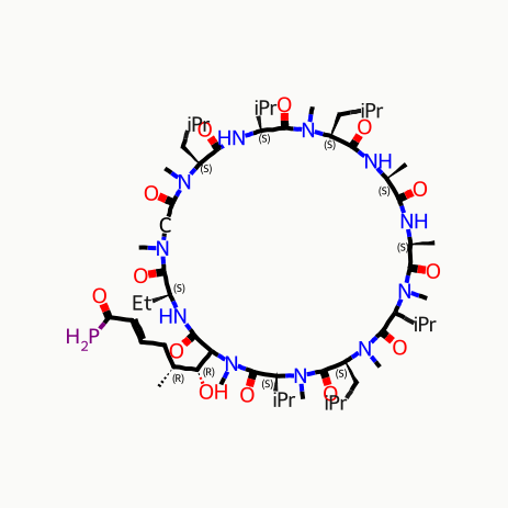 CC[C@@H]1NC(=O)C([C@H](O)[C@H](C)CC=CC(=O)P)N(C)C(=O)[C@H](C(C)C)N(C)C(=O)[C@H](CC(C)C)N(C)C(=O)C(C(C)C)N(C)C(=O)[C@H](C)NC(=O)[C@H](C)NC(=O)[C@H](CC(C)C)N(C)C(=O)[C@H](C(C)C)NC(=O)[C@H](CC(C)C)N(C)C(=O)CN(C)C1=O